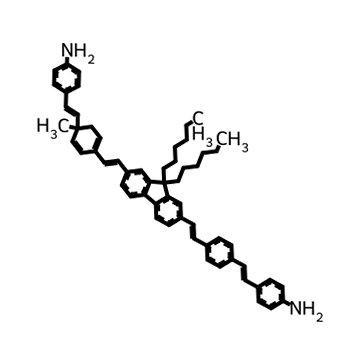 CCCCCCC1(CCCCCC)c2cc(/C=C/C3=CCC(C)(/C=C/c4ccc(N)cc4)C=C3)ccc2-c2ccc(/C=C/c3ccc(/C=C/c4ccc(N)cc4)cc3)cc21